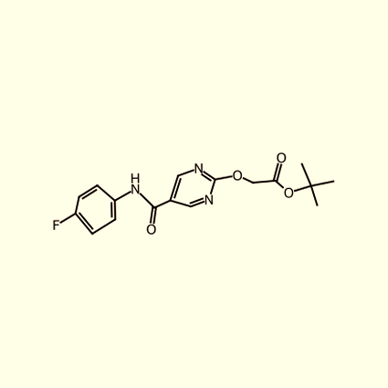 CC(C)(C)OC(=O)COc1ncc(C(=O)Nc2ccc(F)cc2)cn1